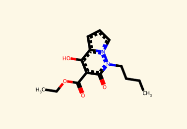 CCCCn1c(=O)c(C(=O)OCC)c(O)c2cccn21